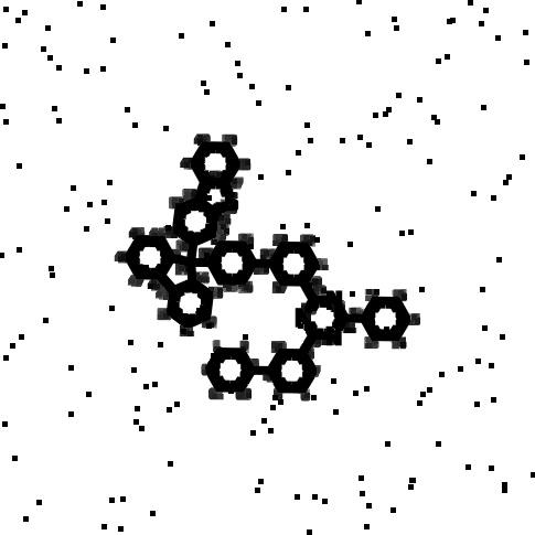 c1ccc(-c2cccc(-c3nc(-c4ccccc4)nc(-c4cccc(-c5ccc(C6(c7ccc8c(c7)sc7ccccc78)c7ccccc7-c7ccccc76)cc5)c4)n3)c2)cc1